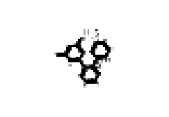 Cc1cc(C)cc(-c2ccccc2-c2ccccc2)c1.S